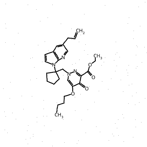 C=CCc1cnc2c(ccn2C2(Cn3cc(OCCCC)c(=O)c(C(=O)OCC)n3)CCCC2)c1